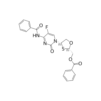 O=C(Nc1nc(=O)n([C@@H]2CO[C@H](COC(=O)c3ccccc3)S2)cc1F)c1ccccc1